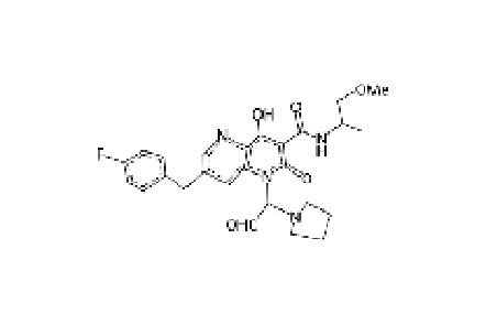 COCC(C)NC(=O)c1c(O)c2ncc(Cc3ccc(F)cc3)cc2n(C(C=O)N2CCCC2)c1=O